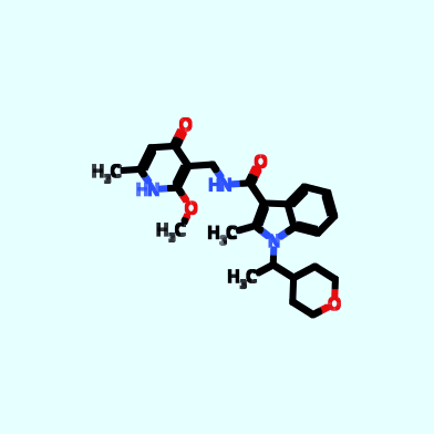 COc1[nH]c(C)cc(=O)c1CNC(=O)c1c(C)n(C(C)C2CCOCC2)c2ccccc12